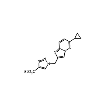 CCOC(=O)c1cn(Cc2cn3nc(C4CC4)ccc3n2)nn1